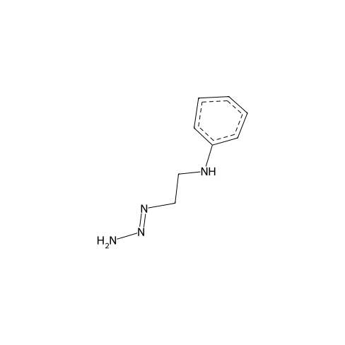 NN=NCCNc1ccccc1